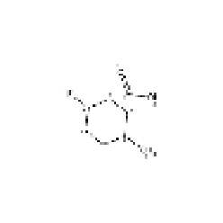 CC1CCC(F)CC1.O=CO